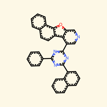 c1ccc(-c2nc(-c3cccc4ccccc34)nc(-c3cncc4oc5c6ccccc6ccc5c34)n2)cc1